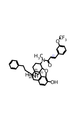 CN(C(=O)/C=C/c1cccc(OC(F)(F)F)c1)C1CC[C@H]2[C@H]3Cc4ccc(O)c5c4[C@@]2(CCN3CCc2ccccc2)C1O5